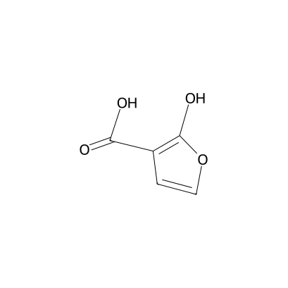 O=C(O)c1ccoc1O